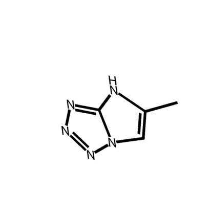 Cc1cn2nnnc2[nH]1